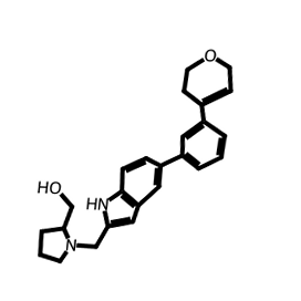 OCC1CCCN1Cc1cc2cc(-c3cccc(C4=CCOCC4)c3)ccc2[nH]1